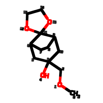 COCC1(O)CC2CCC(C1)C21OCCO1